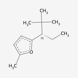 CC[C@H](c1ccc(C)o1)C(C)(C)C